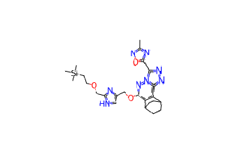 Cc1noc(-c2nnc3c4c(c(OCc5c[nH]c(COCC[Si](C)(C)C)n5)nn23)C2CCC4CC2)n1